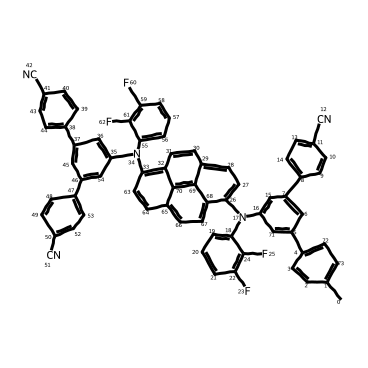 Cc1ccc(-c2cc(-c3ccc(C#N)cc3)cc(N(c3cccc(F)c3F)c3ccc4ccc5c(N(c6cc(-c7ccc(C#N)cc7)cc(-c7ccc(C#N)cc7)c6)c6cccc(F)c6F)ccc6ccc3c4c65)c2)cc1